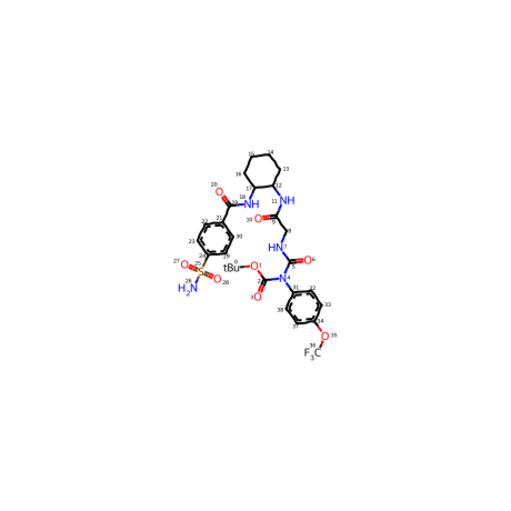 CC(C)(C)OC(=O)N(C(=O)NCC(=O)NC1CCCCC1NC(=O)c1ccc(S(N)(=O)=O)cc1)c1ccc(OC(F)(F)F)cc1